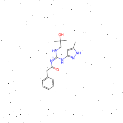 Cc1cc(N/C(=N\C(=O)Cc2ccccc2)NCC(C)(C)O)n[nH]1